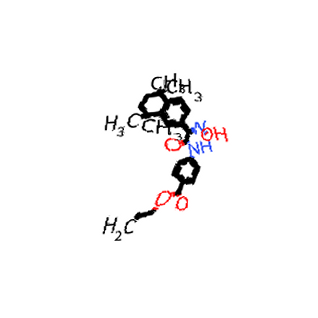 C=CCOC(=O)c1ccc(NC(=O)C(=NO)c2ccc3c(c2)C(C)(C)CCC3(C)C)cc1